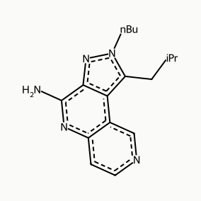 CCCCn1nc2c(N)nc3ccncc3c2c1CC(C)C